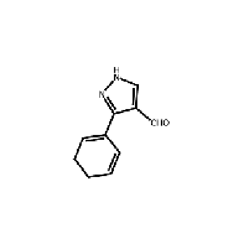 O=Cc1c[nH]nc1C1=CCCC=C1